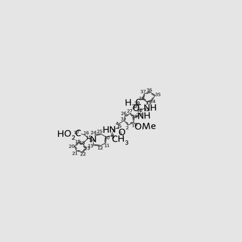 COc1cc(CC(=O)NC(C)C2=CC=CN(C(CC(=O)O)c3ccccc3)C=C2)ccc1NC(=O)Nc1ccccc1C